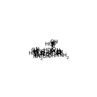 Nc1nc2c(ncn2[C@@H]2O[C@H](COP(=O)(O)OC3C(O)[C@@H](COP(=O)(O)O)O[C@H]3n3cnc4c(N)ncnc43)C(O)C2O)c(=O)[nH]1